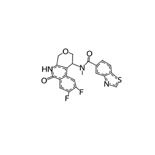 CN(C(=O)c1ccc2scnc2c1)C1COCc2[nH]c(=O)c3cc(F)c(F)cc3c21